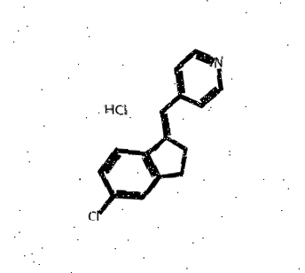 Cl.Clc1ccc2c(c1)CCC2=Cc1ccncc1